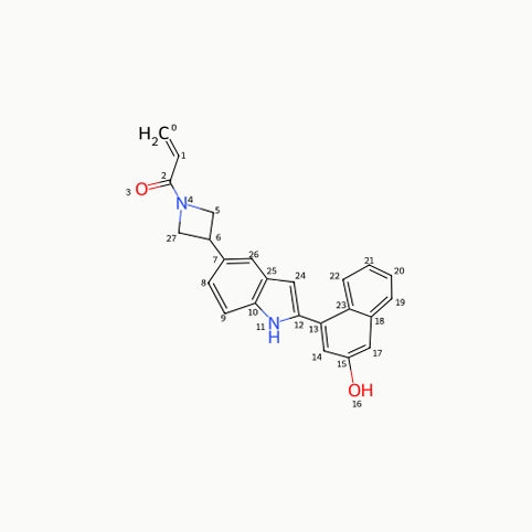 C=CC(=O)N1CC(c2ccc3[nH]c(-c4cc(O)cc5ccccc45)cc3c2)C1